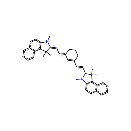 CN1/C(=C/C=C2C=C(/C=C/C3N(C)c4ccc5ccccc5c4C3(C)C)CCC/2)C(C)(C)c2c1ccc1ccccc21